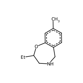 CCC1CNCc2ccc(C)cc2O1